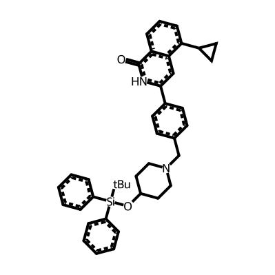 CC(C)(C)[Si](OC1CCN(Cc2ccc(-c3cc4c(C5CC5)cccc4c(=O)[nH]3)cc2)CC1)(c1ccccc1)c1ccccc1